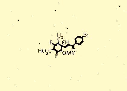 COC1C(F)=C(C(=O)O)C(F)=C(C)C1(C)C=CC(=O)c1ccc(Br)cc1